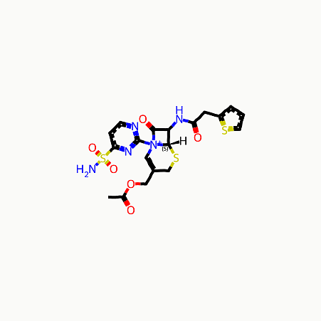 CC(=O)OCC1=C[N+]2(c3nccc(S(N)(=O)=O)n3)C(=O)C(NC(=O)Cc3cccs3)[C@@H]2SC1